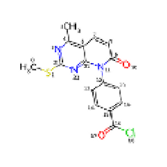 CSc1nc(C)c2ccc(=O)n(-c3ccc(C(=O)Cl)cc3)c2n1